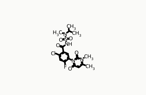 Cc1cc(=O)n(-c2cc(C(=O)NS(=O)(=O)N(C)C(C)C)c(Cl)cc2F)c(=O)n1C